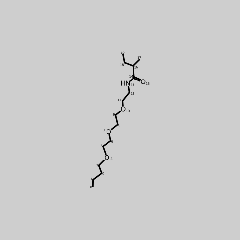 CCCCOCCOCCOCCNC(=O)C(C)CC